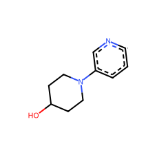 OC1CCN(c2cc[c]nc2)CC1